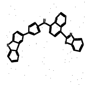 c1ccc2sc(-c3ccc(Nc4ccc(-c5ccc6sc7ccccc7c6c5)cc4)c4ccccc34)nc2c1